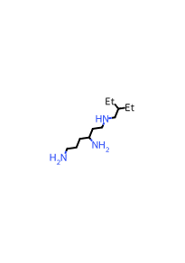 CCC(CC)CNCCC(N)CCCN